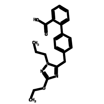 CCCn1nc(OCC)nc1Cc1ccc(-c2ccccc2C(=O)O)cc1